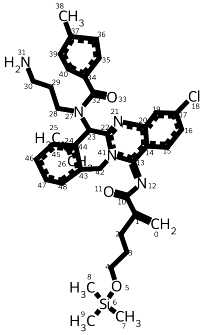 C=C(CCCO[Si](C)(C)C)C(=O)N=c1c2ccc(Cl)cc2nc(C(C(C)C)N(CCCN)C(=O)c2ccc(C)cc2)n1Cc1ccccc1